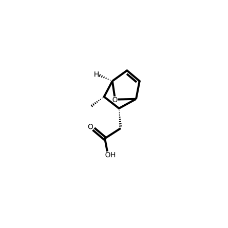 C[C@@H]1[C@H]2C=CC(O2)[C@@H]1CC(=O)O